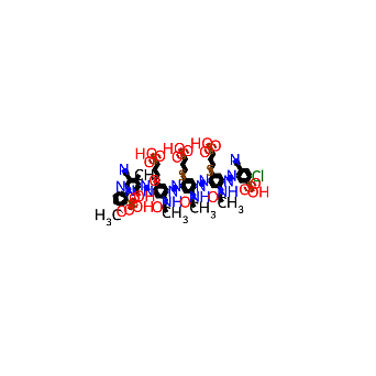 COc1ccc2nc3c(C#N)c(C)c(N=Nc4cc(NC(C)=O)c(N=Nc5cc(NC(C)=O)c(N=Nc6cc(NC(C)=O)c(N=Nc7cc(S(=O)(=O)O)c(Cl)cc7C#N)cc6SCCCS(=O)(=O)O)cc5SCCCS(=O)(=O)O)cc4OCCCS(=O)(=O)O)c(O)n3c2c1S(=O)(=O)O